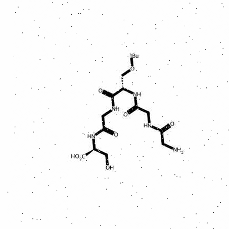 CC(C)(C)OC[C@H](NC(=O)CNC(=O)CN)C(=O)NCC(=O)N[C@@H](CO)C(=O)O